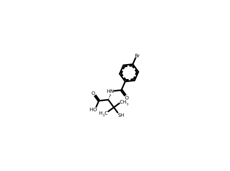 CC(C)(S)[C@@H](NC(=O)c1ccc(Br)cc1)C(=O)O